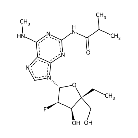 CC[C@]1(CO)O[C@@H](n2cnc3c(NC)nc(NC(=O)C(C)C)nc32)[C@H](F)[C@@H]1O